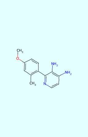 COc1ccc(-c2nccc(N)c2N)c(C)c1